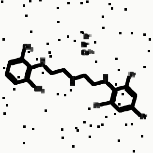 Cc1cccc(C)c1NCCNCCNc1c(C(C)C)cc(C(C)C)cc1C(C)C.[Br-].[Br-].[Co+2]